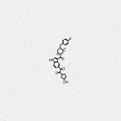 C[C@@H]1CN(Cc2ccc(F)cc2)[C@@H](C)CN1C(=O)c1c[nH]c2ccc(C(=O)C(=O)N3CC[C@H](O)C3)cc12